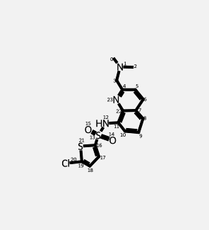 CN(C)Cc1ccc2cccc(NS(=O)(=O)c3ccc(Cl)s3)c2n1